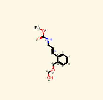 CC(C)(C)OC(=O)NC/C=C/c1ccccc1COCO